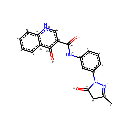 CC1=NN(c2cccc(NC(=O)c3c[nH]c4ccccc4c3=O)c2)C(=O)C1